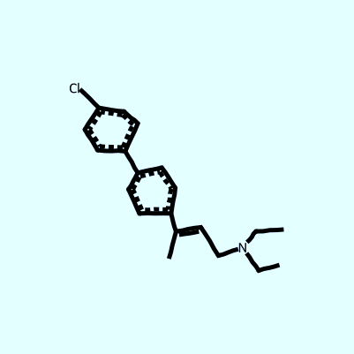 CCN(CC)CC=C(C)c1ccc(-c2ccc(Cl)cc2)cc1